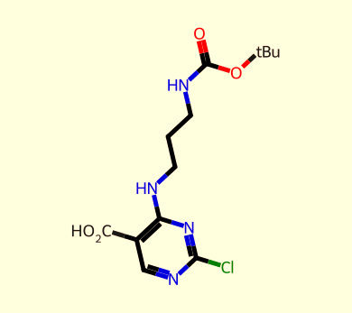 CC(C)(C)OC(=O)NCCCNc1nc(Cl)ncc1C(=O)O